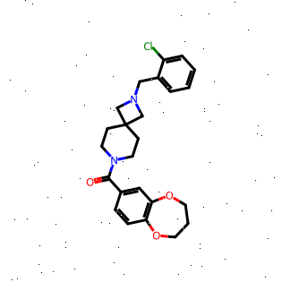 O=C(c1ccc2c(c1)OCCCO2)N1CCC2(CC1)CN(Cc1ccccc1Cl)C2